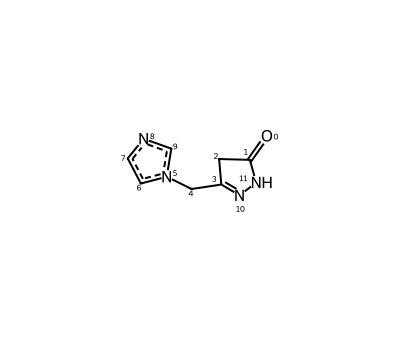 O=C1CC(Cn2ccnc2)=NN1